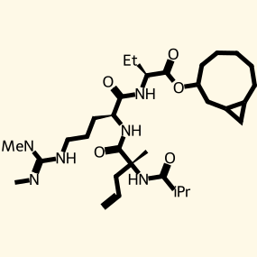 C=CC[C@@](C)(NC(=O)C(C)C)C(=O)N[C@@H](CCCN/C(=N/C)NC)C(=O)N[C@@H](CC)C(=O)OC1CCCCCC2CC2C1